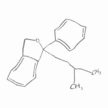 CC(C)CCC1(c2ccccc2)OCc2ccccc21